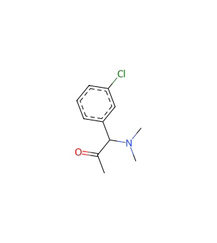 CC(=O)C(c1cccc(Cl)c1)N(C)C